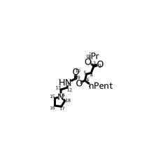 [CH2]C([CH2])OC(=O)CCC(CCCCC)OC(=O)NCCN1CCCC1